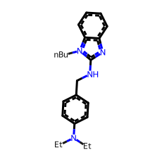 CCCCn1c(NCc2ccc(N(CC)CC)cc2)nc2ccccc21